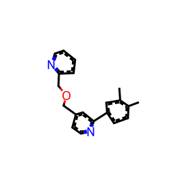 Cc1ccc(-c2cc(COCc3ccccn3)ccn2)cc1C